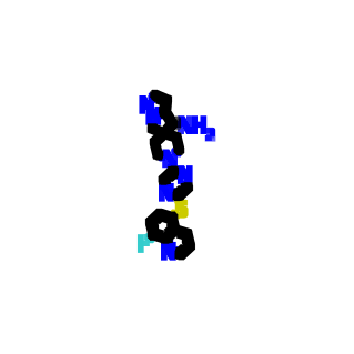 N[C@@H]1c2ccnn2CC12CCN(c1cnc(Sc3ccc(F)c4ncccc34)cn1)CC2